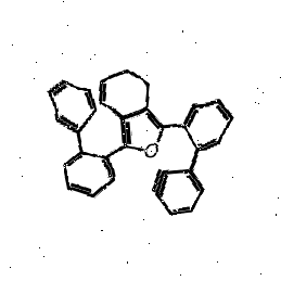 c1cccc(-c2ccccc2-c2oc(-c3ccccc3-c3ccccc3)c3c2CCC=C3)c#1